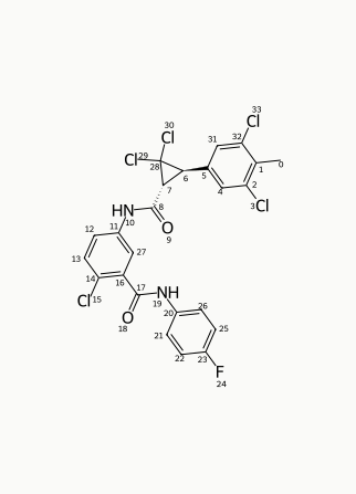 Cc1c(Cl)cc([C@H]2[C@H](C(=O)Nc3ccc(Cl)c(C(=O)Nc4ccc(F)cc4)c3)C2(Cl)Cl)cc1Cl